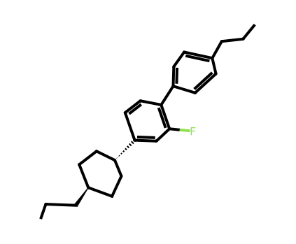 CCCc1ccc(-c2ccc([C@H]3CC[C@H](CCC)CC3)cc2F)cc1